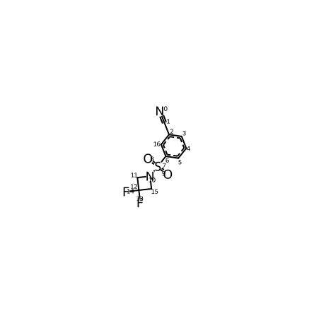 N#Cc1cccc(S(=O)(=O)N2CC(F)(F)C2)c1